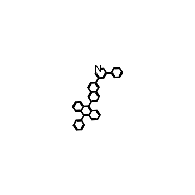 c1ccc(-c2cncc(-c3ccc4cc(-c5c6ccccc6c(-c6ccccc6)c6ccccc56)ccc4c3)c2)cc1